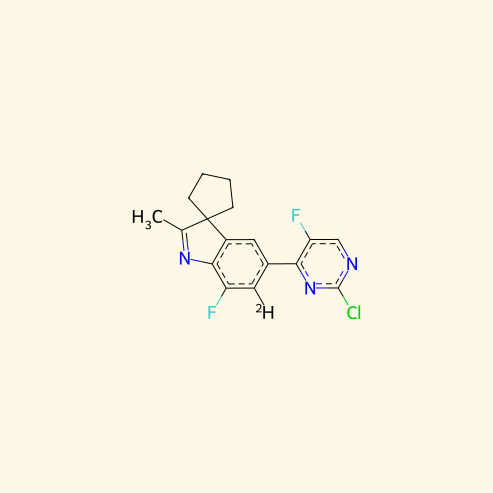 [2H]c1c(-c2nc(Cl)ncc2F)cc2c(c1F)N=C(C)C21CCCC1